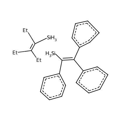 CCC([SiH3])=C(CC)CC.[SiH3]C(=C(c1ccccc1)c1ccccc1)c1ccccc1